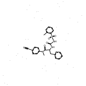 Cc1ccccc1S(=O)(=O)NC(=O)NC(Cc1ccccc1)C(=O)N(C)c1ccc(C#N)cc1